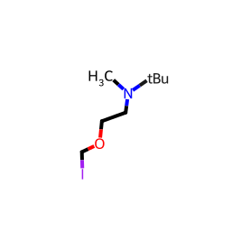 CN(CCOCI)C(C)(C)C